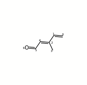 C=C/C(C)=C/C=O